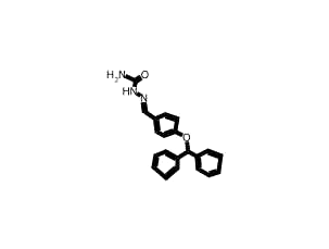 NC(=O)NN=Cc1ccc(OC(c2ccccc2)c2ccccc2)cc1